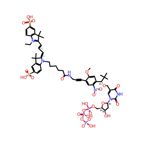 CC[N+]1=C(/C=C/C=C2/N(CCCCCC(=O)NCC#Cc3cc([N+](=O)[O-])c([C@@H](OCc4cn([C@H]5C[C@@H](O)[C@@H](COP(=O)(O)OP(=O)(O)OP(=O)([O-])O)O5)c(=O)[nH]c4=O)C(C)(C)C)cc3OC)c3ccc(S(=O)(=O)O)cc3C2(C)C)C(C)(C)c2cc(S(=O)(=O)O)ccc21